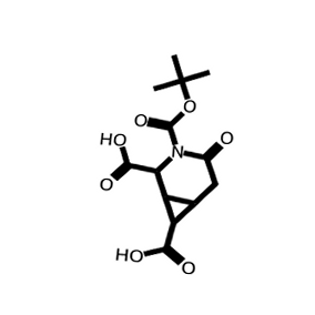 CC(C)(C)OC(=O)N1C(=O)CC2C(C(=O)O)C2C1C(=O)O